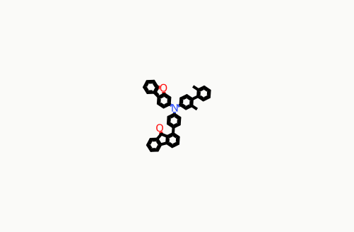 Cc1ccccc1-c1ccc(N(c2ccc(-c3cccc4c3C(=O)c3ccccc3-4)cc2)c2ccc3c(c2)oc2ccccc23)cc1C